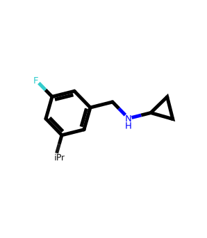 CC(C)c1cc(F)cc(CNC2CC2)c1